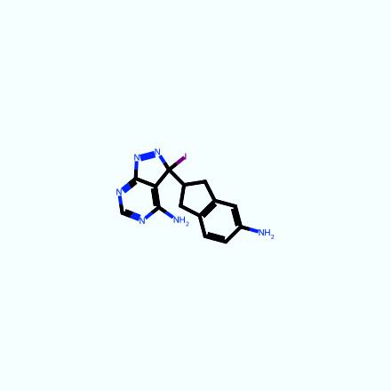 Nc1ccc2c(c1)CC(C1(I)N=Nc3ncnc(N)c31)C2